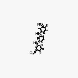 O=[N+]([O-])c1cc(Nc2ccnc(Nc3ccc(F)c([N+](=O)[O-])c3)n2)ccc1F